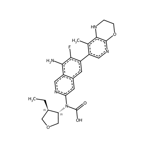 CC[C@@H]1COC[C@H]1N(C(=O)O)c1cc2cc(-c3cnc4c(c3C)NCCO4)c(F)c(N)c2cn1